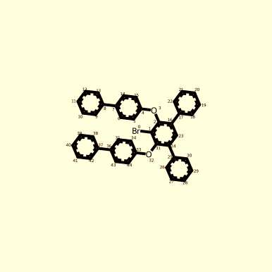 Brc1c(Oc2ccc(-c3ccccc3)cc2)c(-c2ccccc2)cc(-c2ccccc2)c1Oc1ccc(-c2ccccc2)cc1